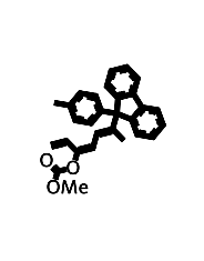 C=C/C(=C\C=C(/C)C1(c2ccc(C)cc2)c2ccccc2-c2ccccc21)OC(=O)OC